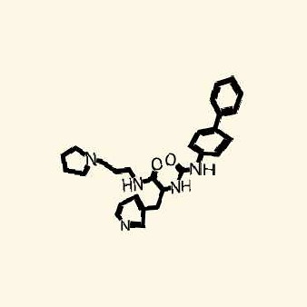 O=C(Nc1ccc(-c2ccccc2)cc1)NC(Cc1cccnc1)C(=O)NCCCN1CCCC1